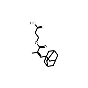 CC(=CC12CC3CC(CC(C3)C1)C2)C(=O)OCCC(=O)O